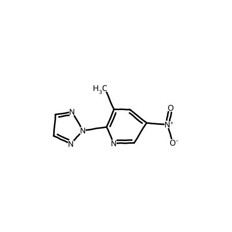 Cc1cc([N+](=O)[O-])cnc1-n1nccn1